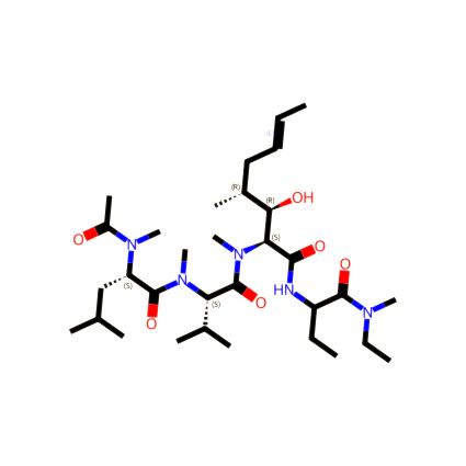 C/C=C/C[C@@H](C)[C@@H](O)[C@@H](C(=O)NC(CC)C(=O)N(C)CC)N(C)C(=O)[C@H](C(C)C)N(C)C(=O)[C@H](CC(C)C)N(C)C(C)=O